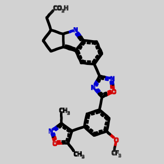 Cc1noc(C)c1-c1cc(OC(F)(F)F)cc(-c2nc(-c3ccc4c(c3)=C3CCC(CC(=O)O)C3N=4)no2)c1